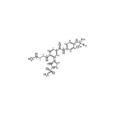 CNCCNc1ncc(C(=O)Nc2ccc(OC(F)(F)Cl)cc2)cc1-c1ccc(S(C)(=O)=O)[nH]1